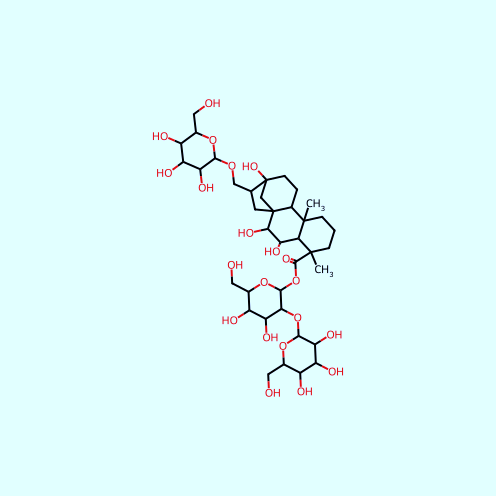 CC1(C(=O)OC2OC(CO)C(O)C(O)C2OC2OC(CO)C(O)C(O)C2O)CCCC2(C)C1C(O)C(O)C13CC(COC4OC(CO)C(O)C(O)C4O)C(O)(CCC21)C3